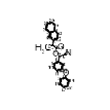 CC(C(=O)OC(C#N)c1cccc(Oc2ccccc2)c1)c1ccc2ccccc2c1